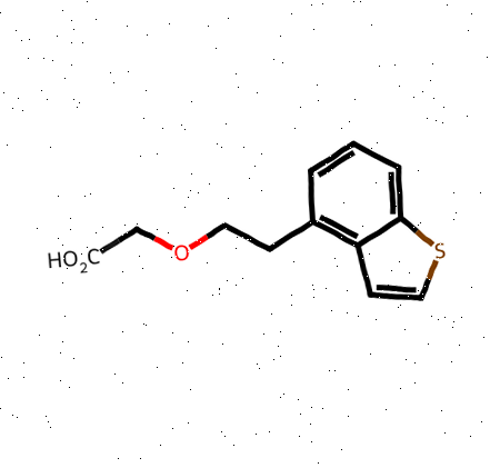 O=C(O)COCCc1cccc2sccc12